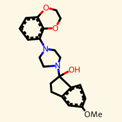 COc1ccc2c(c1)CCC2(O)N1CCN(c2cccc3c2OCCO3)CC1